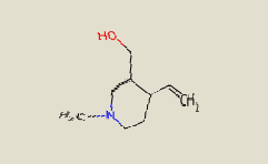 C=CC1CCN(C)CC1CO